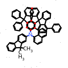 CC1(C)c2ccccc2-c2ccc(N(c3ccc4c(c3)C(c3ccccc3)(c3ccccc3)c3ccccc3-4)c3cccc4cccc(-c5cccc6c5C5(c7ccccc7-6)c6ccccc6-c6c(-c7ccccc7)cccc65)c34)cc21